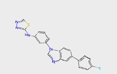 Fc1ccc(-c2ccc3c(c2)ncn3-c2cccc(Nc3nncs3)c2)cc1